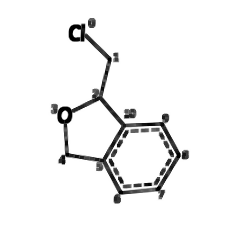 ClCC1OCc2ccccc21